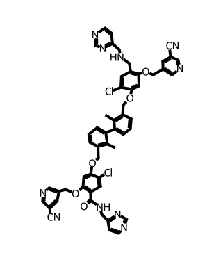 Cc1c(COc2cc(OCc3cncc(C#N)c3)c(CNCc3ccncn3)cc2Cl)cccc1-c1cccc(COc2cc(OCc3cncc(C#N)c3)c(C(=O)NCc3ccncn3)cc2Cl)c1C